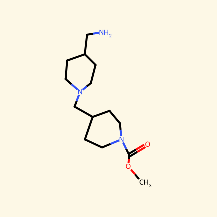 COC(=O)N1CCC(CN2CCC(CN)CC2)CC1